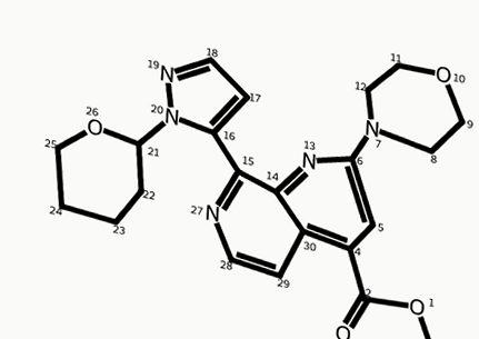 COC(=O)c1cc(N2CCOCC2)nc2c(-c3ccnn3C3CCCCO3)nccc12